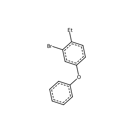 CCc1ccc(Oc2ccccc2)cc1Br